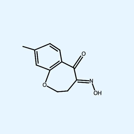 Cc1ccc2c(c1)OCCC(=NO)C2=O